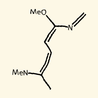 C=N/C(=C\C=C(\C)NC)OC